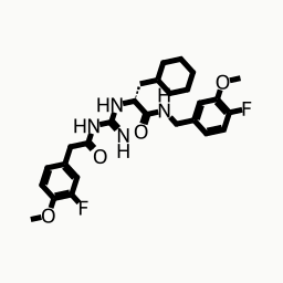 COc1ccc(CC(=O)NC(=N)N[C@H](CC2CCCCC2)C(=O)NCc2ccc(F)c(OC)c2)cc1F